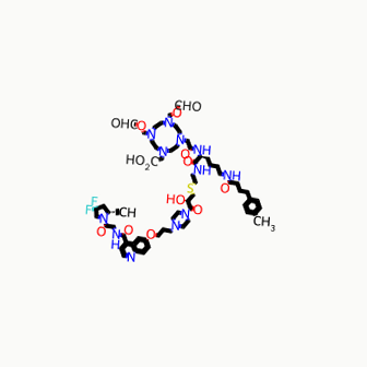 C#C[C@H]1CC(F)(F)CN1C(=O)CNC(=O)c1ccnc2ccc(OCCCN3CCN(C(=O)[C@H](O)CSCCNC(=O)[C@H](CCCCNC(=O)CCCc4ccc(C)cc4)NC(=O)CN4CCN(COC=O)CCN(COC=O)CCN(CC(=O)O)CC4)CC3)cc12